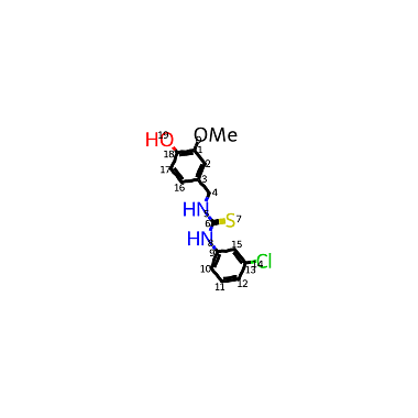 COc1cc(CNC(=S)Nc2cccc(Cl)c2)ccc1O